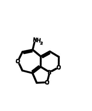 NC1=COCC2=C3B(OCC=C13)OC2